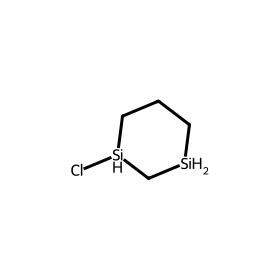 Cl[SiH]1CCC[SiH2]C1